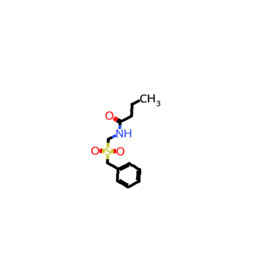 CCCC(=O)NCS(=O)(=O)Cc1ccccc1